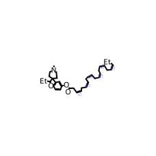 CC/C=C\C/C=C\C/C=C\C/C=C\C/C=C\C/C=C\CC(=O)Oc1cccc(C2(C(=O)CC)CCN(C)CC2)c1